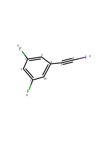 Fc1cc(F)cc(C#CI)c1